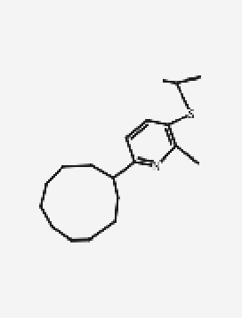 Cc1nc(C2CCCCCCCCC2)ccc1SC(C)C